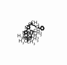 Cc1ncc(-c2ccc(OC(C)CCCOCc3ccccc3)cn2)c(N2CCC(C)(C)CC2)c1C(OC(C)(C)C)C(=O)OC(C)C